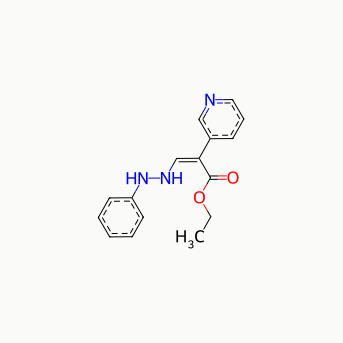 CCOC(=O)C(=CNNc1ccccc1)c1cccnc1